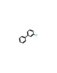 Fc1[c]c(-c2ccccc2)ccc1